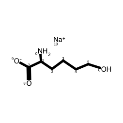 NC(CCCCO)C(=O)[O-].[Na+]